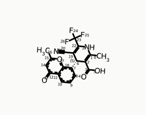 CC1=C(C(=O)O)[C@H](c2cccc3c(=O)cc(C)oc23)C(C#N)=C(C(F)(F)F)N1